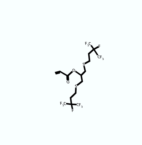 C=CC(=O)OC(CSCCC(F)(C(F)(F)F)C(F)(F)F)CSCCC(F)(C(F)(F)F)C(F)(F)F